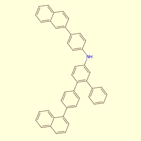 c1ccc(-c2cc(Nc3ccc(-c4ccc5ccccc5c4)cc3)ccc2-c2ccc(-c3cccc4ccccc34)cc2)cc1